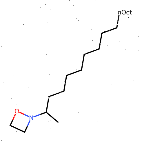 CCCCCCCCCCCCCCCCC(C)N1CCO1